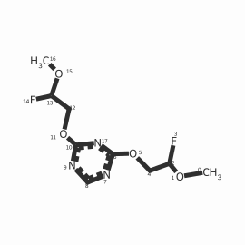 COC(F)COc1ncnc(OCC(F)OC)n1